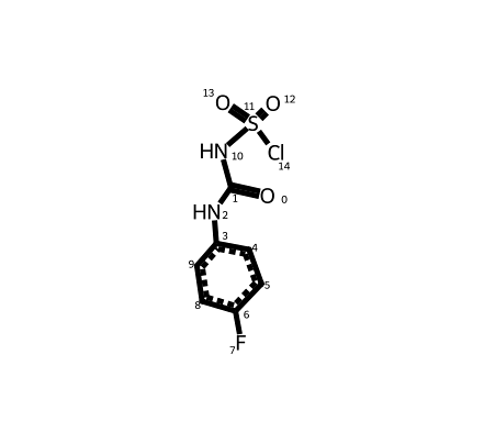 O=C(Nc1ccc(F)cc1)NS(=O)(=O)Cl